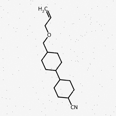 C=CCOCC1CCC(C2CCC(C#N)CC2)CC1